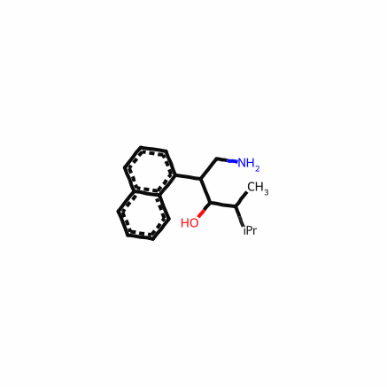 CC(C)C(C)C(O)C(CN)c1cccc2ccccc12